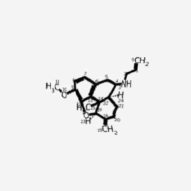 C=CCNC1Cc2ccc(OC)c3c2C2(C)[C@H](O3)C(=C)CC[C@H]12